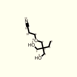 CCC(CO)(CO)COCCC#N